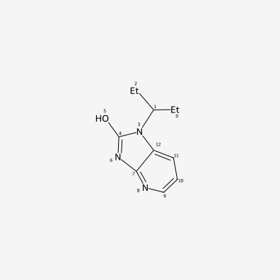 CCC(CC)n1c(O)nc2ncccc21